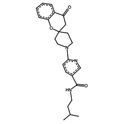 CC(C)CCNC(=O)c1ccc(N2CCC3(CC2)CC(=O)c2ccccc2O3)nc1